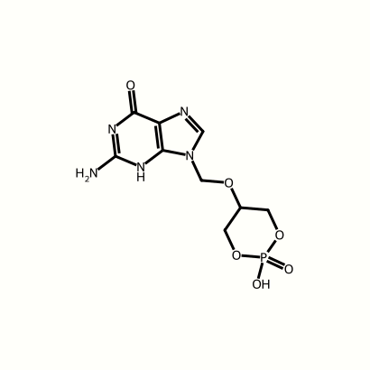 Nc1nc(=O)c2ncn(COC3COP(=O)(O)OC3)c2[nH]1